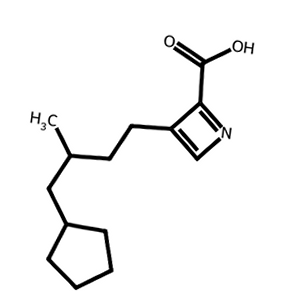 CC(CCC1=CN=C1C(=O)O)CC1CCCC1